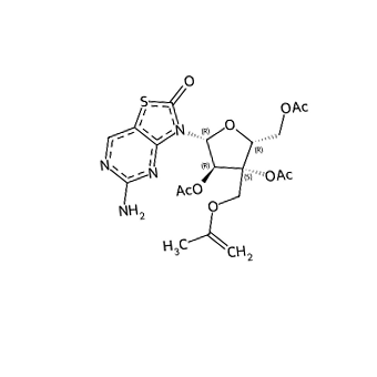 C=C(C)OC[C@]1(OC(C)=O)[C@@H](COC(C)=O)O[C@@H](n2c(=O)sc3cnc(N)nc32)[C@@H]1OC(C)=O